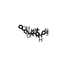 CC(C)Nc1cc(Nc2ccc3ncsc3c2)ncc1-c1nc(C(=O)N2CCC(O)(Cc3ccccc3)CC2)cs1